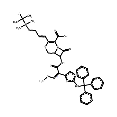 CO/N=C(\C(=O)NC1C(=O)N2C(C(=O)O)=C(C=CCO[Si](C)(C)C(C)(C)C)SCC12)c1csc(NC(c2ccccc2)(c2ccccc2)c2ccccc2)n1